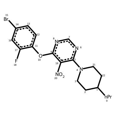 CCCC1CCN(c2ncnc(Oc3ccc(Br)cc3F)c2[N+](=O)[O-])CC1